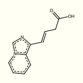 O=C(O)CC=Cc1ncn2ccccc12